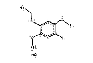 CCNc1cc(OC)c(I)cc1OC.Cl